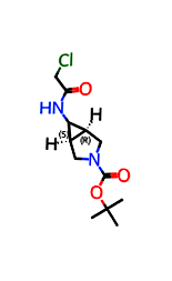 CC(C)(C)OC(=O)N1C[C@@H]2C(NC(=O)CCl)[C@@H]2C1